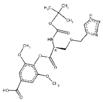 COc1cc(C(=O)O)cc(OC)c1OC(=O)[C@H](CSCc1c[nH]nn1)NC(=O)OC(C)(C)C